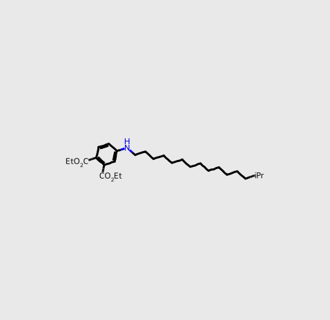 CCOC(=O)c1ccc(NCCCCCCCCCCCCCC(C)C)cc1C(=O)OCC